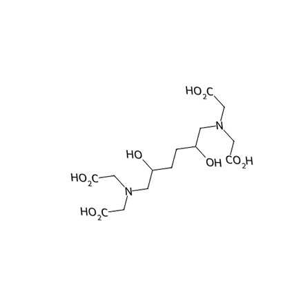 O=C(O)CN(CC(=O)O)CC(O)CCC(O)CN(CC(=O)O)CC(=O)O